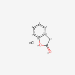 O=C1Cc2ccccc2O1.[C]